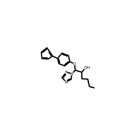 CCCCC(O)C(Oc1ccc(-c2ccccc2)cc1)n1cncn1